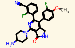 COc1ccc(-c2c(-c3cccc(C#N)c3F)nc(N3CCC(N)CC3)c3c2CNC3=O)cc1F